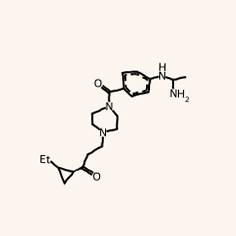 CCC1C[C@@H]1C(=O)CCN1CCN(C(=O)c2ccc(NC(C)N)cc2)CC1